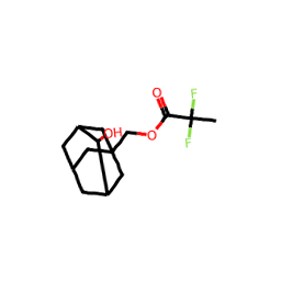 CC(F)(F)C(=O)OCC12CC3CC(C1)C(O)C(C3)C2